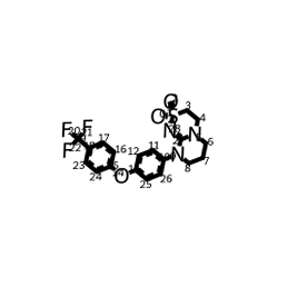 O=S1(=O)CCN2CCCN(c3ccc(Oc4ccc(C(F)(F)F)cc4)cc3)C2=N1